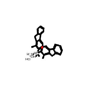 Cc1[c]([Hf]([CH3])([CH3])(=[SiH2])[c]2ccc3c(c2C)Cc2ccccc2-3)ccc2c1Cc1ccccc1-2.Cl.Cl